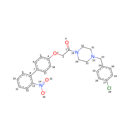 O=C(COc1ccc(-c2ccccc2[N+](=O)[O-])cc1)N1CCN(Cc2ccc(Cl)cc2)CC1